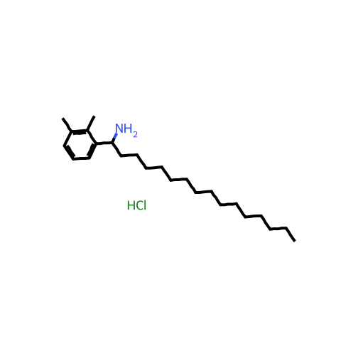 CCCCCCCCCCCCCCCC(N)c1cccc(C)c1C.Cl